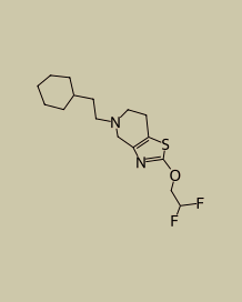 FC(F)COc1nc2c(s1)CCN(CCC1CCCCC1)C2